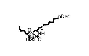 CCCCCCCCCCCCCCCCSCC(CNS(=O)(=O)CCCI)NC(=O)OCCCC